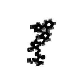 CCCCc1nc(Cl)c(COC(=O)[C@H](N)C(C)C)n1Cc1ccc(-c2ccccc2-c2nn[nH]n2)cc1